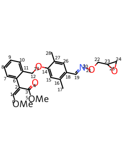 COC=C(C(=O)OC)c1ccccc1COc1cc(C)c(C=NOCC2CO2)cc1C